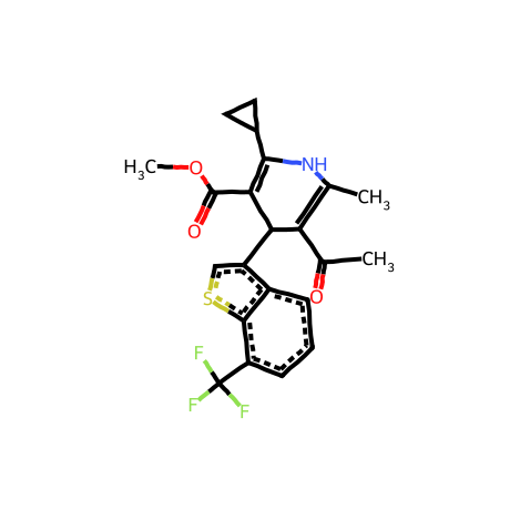 COC(=O)C1=C(C2CC2)NC(C)=C(C(C)=O)C1c1csc2c(C(F)(F)F)cccc12